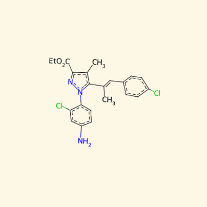 CCOC(=O)c1nn(-c2ccc(N)cc2Cl)c(/C(C)=C/c2ccc(Cl)cc2)c1C